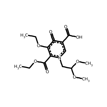 CCOC(=O)c1c(OCC)c(=O)c(C(=O)O)cn1CC(OC)OC